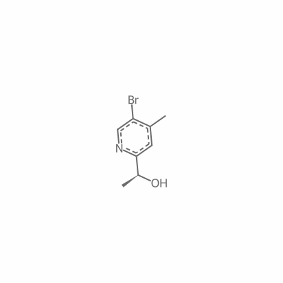 Cc1cc([C@H](C)O)ncc1Br